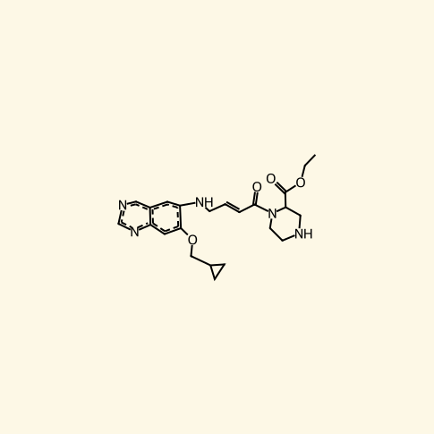 CCOC(=O)C1CNCCN1C(=O)C=CCNc1cc2cncnc2cc1OCC1CC1